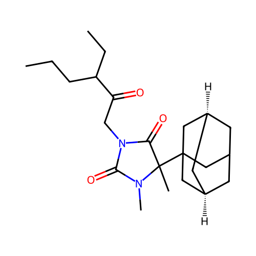 CCCC(CC)C(=O)CN1C(=O)N(C)C(C)(C23CC4C[C@H](C2)C[C@@H](C4)C3)C1=O